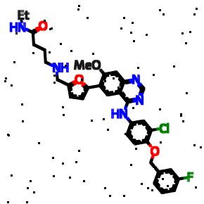 CCNC(=O)CCCNCc1ccc(-c2cc3c(Nc4ccc(OCc5cccc(F)c5)c(Cl)c4)ncnc3cc2OC)o1